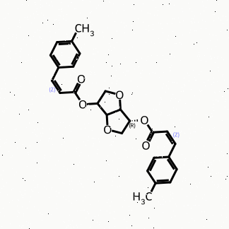 Cc1ccc(/C=C\C(=O)OC2COC3C2OC[C@H]3OC(=O)/C=C\c2ccc(C)cc2)cc1